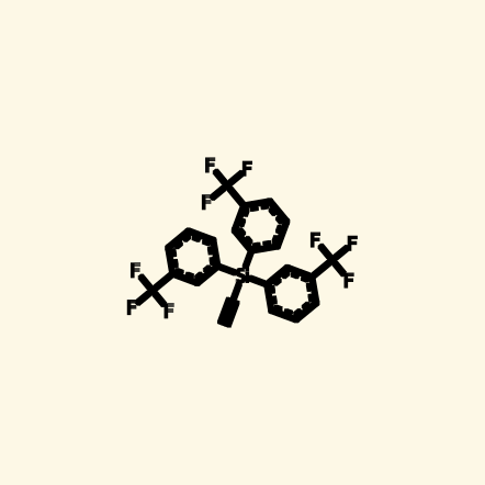 C#C[Si](c1cccc(C(F)(F)F)c1)(c1cccc(C(F)(F)F)c1)c1cccc(C(F)(F)F)c1